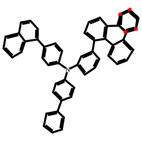 c1ccc(-c2ccc(N(c3ccc(-c4cccc5ccccc45)cc3)c3cccc(-c4cccc(-c5ccccc5)c4-c4ccccc4-c4ccccc4)c3)cc2)cc1